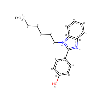 CCOC(=O)CCCCCn1c(-c2ccc(O)cc2)nc2ccccc21